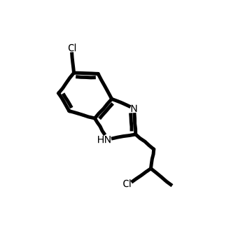 CC(Cl)Cc1nc2cc(Cl)ccc2[nH]1